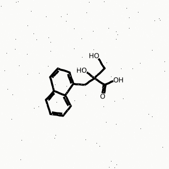 O=C(O)C(O)(CO)Cc1cccc2ccccc12